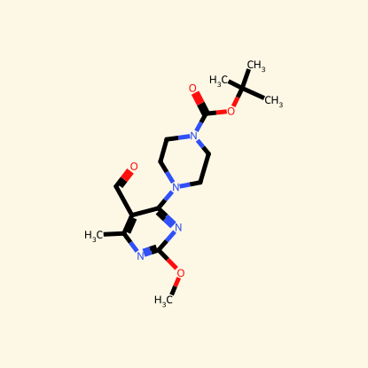 COc1nc(C)c(C=O)c(N2CCN(C(=O)OC(C)(C)C)CC2)n1